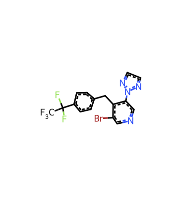 FC(F)(F)C(F)(F)c1ccc(Cc2c(Br)cncc2-n2nccn2)cc1